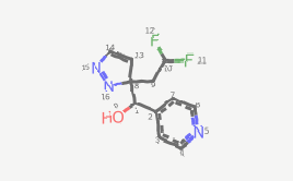 OC(c1ccncc1)C1(CC(F)F)C=CN=N1